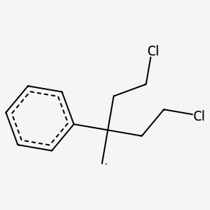 [CH2]C(CCCl)(CCCl)c1ccccc1